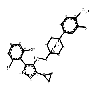 Cc1cc(C23CCC(CNc4c(-c5c(Cl)cccc5Cl)noc4C4CC4)(CC2)CO3)ccc1C(=O)O